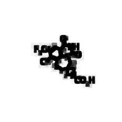 O=C(O)N1CC2(CSc3c(Cl)c(C(F)(F)F)cc4c(=O)[nH]c(=O)n(c34)C2)C1